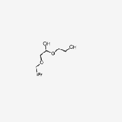 CC(C)COCC(O)OCCO